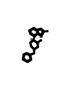 Cc1cc2cccc([C@@H]3CCN(Cc4ccccc4)C[C@@H]3C)c2o1